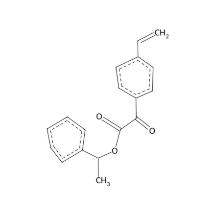 C=Cc1ccc(C(=O)C(=O)OC(C)c2ccccc2)cc1